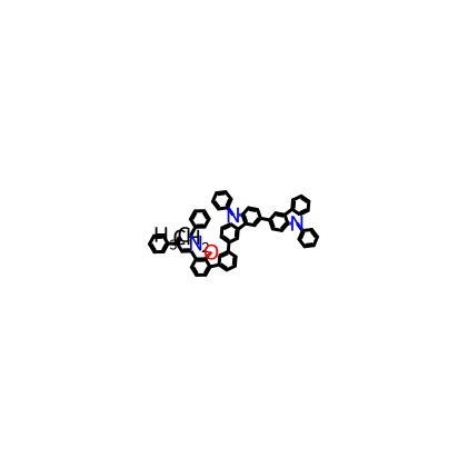 C=C(/C=C(\N=C(/C)c1ccccc1)c1cccc2c1oc1c(-c3ccc4c(c3)c3cc(-c5ccc6c(c5)c5ccccc5n6-c5ccccc5)ccc3n4-c3ccccc3)cccc12)c1ccccc1